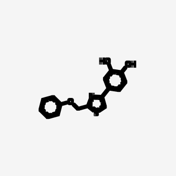 Oc1ccc(-c2csc(COc3ccccc3)n2)cc1O